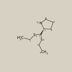 CCSC(SCC)[C@@H]1CCC[N]1